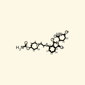 NC(=O)OC1CCN(CCSc2cccc3c2C(=O)N(C2CCC(=O)NC2=O)C3=O)CC1